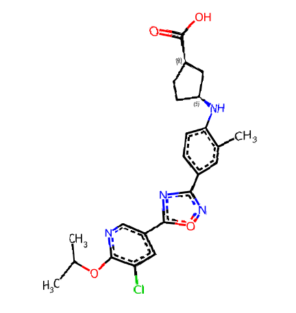 Cc1cc(-c2noc(-c3cnc(OC(C)C)c(Cl)c3)n2)ccc1N[C@H]1CC[C@@H](C(=O)O)C1